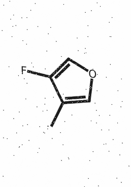 [CH2]c1cocc1F